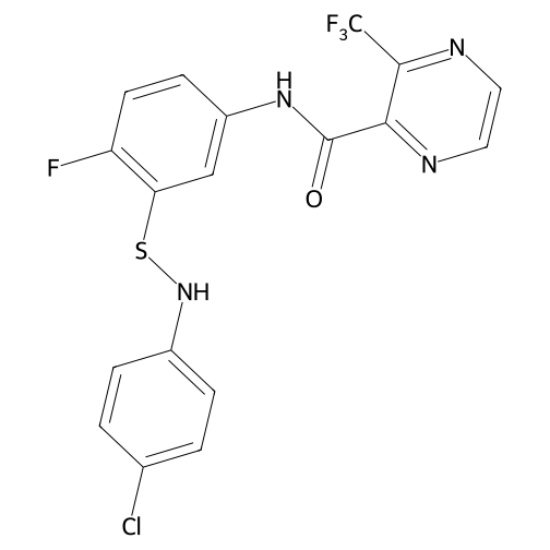 O=C(Nc1ccc(F)c(SNc2ccc(Cl)cc2)c1)c1nccnc1C(F)(F)F